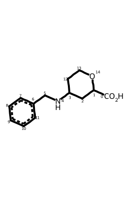 O=C(O)C1CC(NCc2ccccc2)CCO1